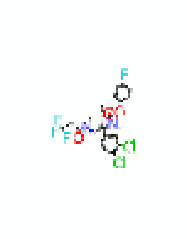 C=CC[C@@](CN(C)C(=O)CC(F)(F)F)(c1ccc(Cl)c(Cl)c1)N(C)C(=O)Oc1ccc(F)cc1